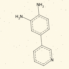 Nc1ccc(-c2cccnc2)cc1N